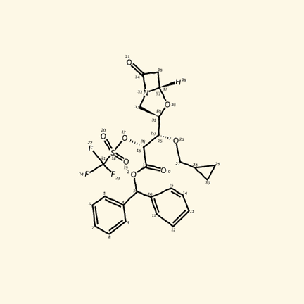 O=C(OC(c1ccccc1)c1ccccc1)[C@H](OS(=O)(=O)C(F)(F)F)[C@@H](OCC1CC1)[C@H]1CN2C(=O)C[C@@H]2O1